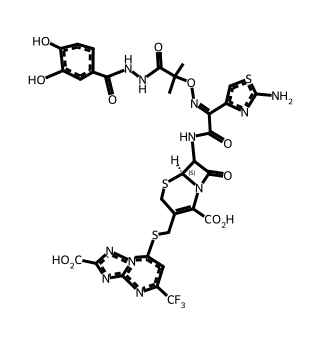 CC(C)(ON=C(C(=O)NC1C(=O)N2C(C(=O)O)=C(CSc3cc(C(F)(F)F)nc4nc(C(=O)O)nn34)CS[C@@H]12)c1csc(N)n1)C(=O)NNC(=O)c1ccc(O)c(O)c1